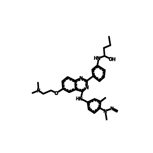 C=NN(C)c1ccc(Nc2nc(-c3cccc(NC(O)CCC)c3)nc3ccc(OCCN(C)C)cc23)cc1C